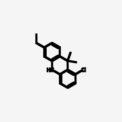 CCc1ccc2c(c1)Nc1cccc(Cl)c1C2(C)C